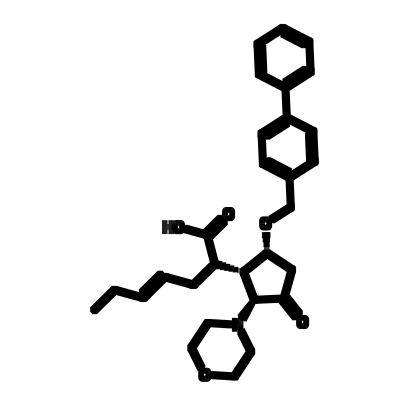 CCC=CCC(C(=O)O)[C@H]1[C@H](N2CCOCC2)C(=O)C[C@H]1OCc1ccc(-c2ccccc2)cc1